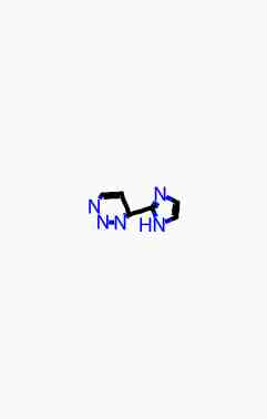 c1cc(-c2ncc[nH]2)nnn1